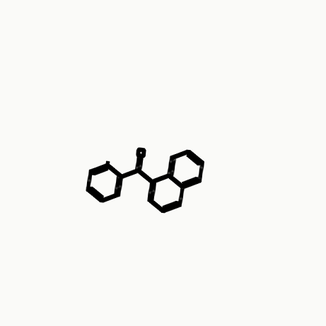 O=C(c1[c]cccc1)c1cccc2ccccc12